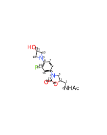 CC(=O)NCC1CN(c2ccc(N3CC(O)C3)c(F)c2)C(=O)O1